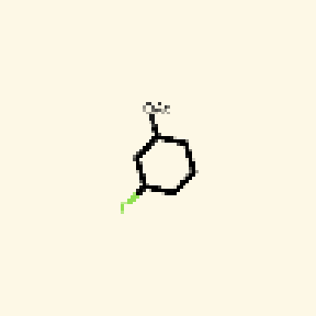 [CH2]C(=O)OC1CCCC(F)C1